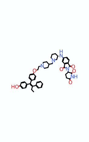 CCC(=C(c1ccc(O)cc1)c1ccc(OCCN2CCC(CN3CCC[C@H](Nc4ccc5c(c4)C(=O)N(C4CCC(=O)NC4=O)C5=O)C3)CC2)cc1)c1ccccc1